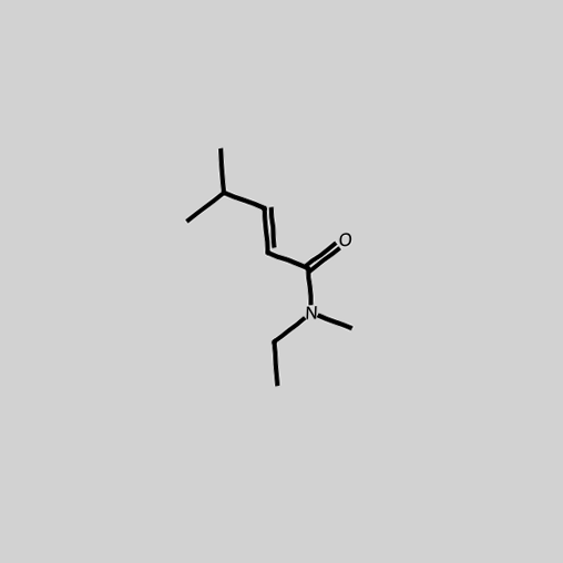 CCN(C)C(=O)/C=C/C(C)C